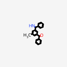 Cc1cc(C(=N)c2ccccc2)cc(C(=O)c2ccccc2)c1